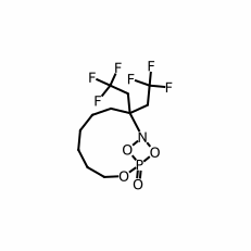 O=P12OCCCCCCC(CC(F)(F)F)(CC(F)(F)F)N(O1)O2